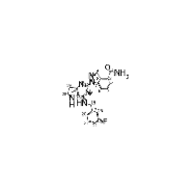 NC(=O)c1cccc2c1cnn2-c1nc2c(c(NCc3cccc(F)c3)n1)NCC2